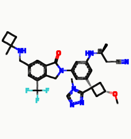 CO[C@H]1C[C@](c2cc(N[C@@H](C)CC#N)cc(N3Cc4c(cc(CNC5(C)CCC5)cc4C(F)(F)F)C3=O)c2)(c2nncn2C)C1